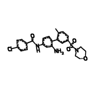 Cc1ccc(S(=O)(=O)N2CCOCC2)cc1-c1ccc(NC(=O)c2ccc(Cl)cc2)cc1N